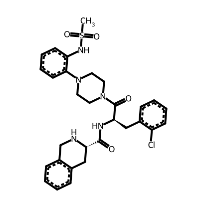 CS(=O)(=O)Nc1ccccc1N1CCN(C(=O)[C@@H](Cc2ccccc2Cl)NC(=O)[C@@H]2Cc3ccccc3CN2)CC1